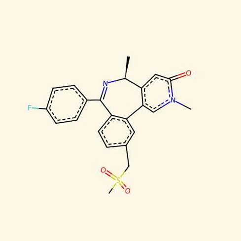 C[C@@H]1N=C(c2ccc(F)cc2)c2ccc(CS(C)(=O)=O)cc2-c2cn(C)c(=O)cc21